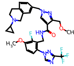 COCc1nn(Cc2ccc3c(c2)CN(C2CC2)CC3)cc1C(=O)NCc1c(-n2cnc(C(F)(F)F)n2)ccc(OC)c1F